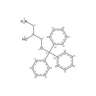 NCC(O)COC(c1ccccc1)(c1ccccc1)c1ccccc1